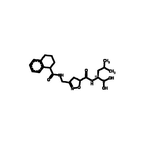 CC(C)C[C@H](NC(=O)C1CC(CNC(=O)C2CCCc3ccccc32)=NO1)B(O)O